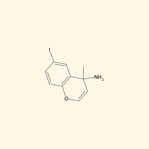 CC1(N)C=COc2ccc(I)cc21